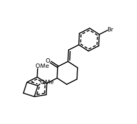 COc1c2cc(C3CCC/C(=C\c4ccc(Br)cc4)C3=O)c(OC)c1C2